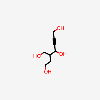 OCC#CC(O)C(CO)CCO